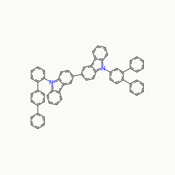 c1ccc(-c2ccc(-c3ccccc3-n3c4ccccc4c4cc(-c5ccc6c(c5)c5ccccc5n6-c5ccc(-c6ccccc6)c(-c6ccccc6)c5)ccc43)cc2)cc1